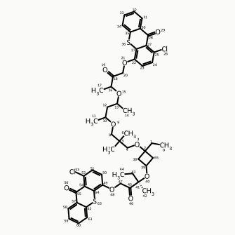 CCC1(OCC(C)(C)COC(C)CC(C)OC(C)C(=O)COc2ccc(Cl)c3c(=O)c4ccccc4sc23)CC(O[C@](C)(CC)C(=O)COc2ccc(Cl)c3c(=O)c4ccccc4sc23)C1